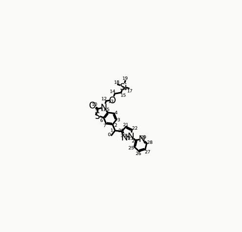 CC(c1ccc2c(c1)sc(=O)n2COCC[Si](C)(C)C)c1ccn(-c2ccccn2)n1